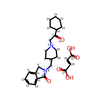 O=C(CN1CCC(CN2Cc3ccccc3C2=O)CC1)C1CCCCC1.O=C(O)C=CC(=O)O